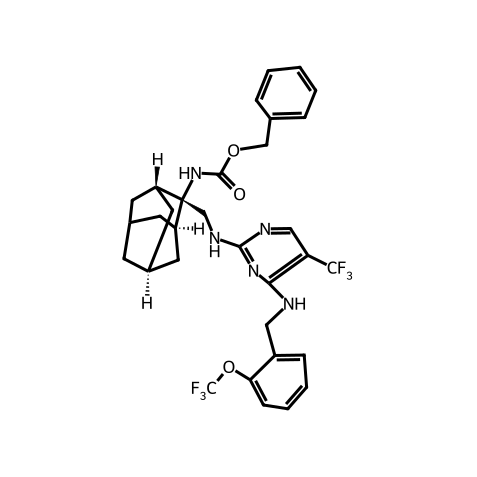 O=C(N[C@]1(CNc2ncc(C(F)(F)F)c(NCc3ccccc3OC(F)(F)F)n2)[C@@H]2CC3C[C@H](C2)C[C@@H]1C3)OCc1ccccc1